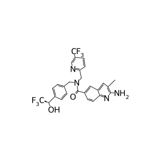 Cc1cc2cc(C(=O)N(Cc3ccc([C@@H](O)C(F)(F)F)cc3)Cc3ccc(C(F)(F)F)cn3)ccc2nc1N